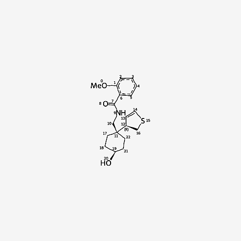 COc1ccccc1C(=O)NC[C@]1([C@H]2C=CSC2)CC[C@H](O)CC1